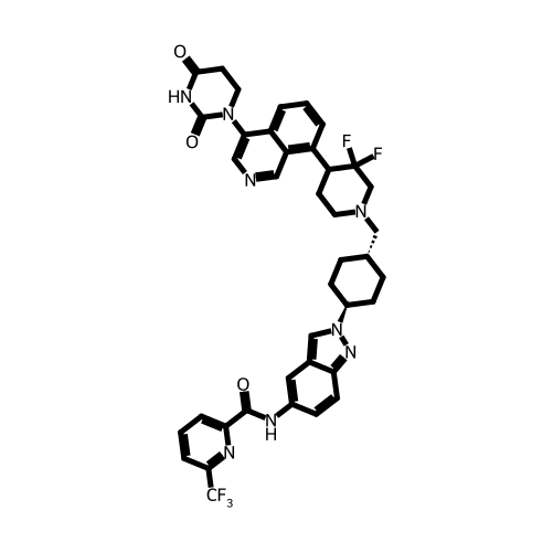 O=C1CCN(c2cncc3c(C4CCN(C[C@H]5CC[C@H](n6cc7cc(NC(=O)c8cccc(C(F)(F)F)n8)ccc7n6)CC5)CC4(F)F)cccc23)C(=O)N1